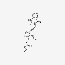 CCOC(=O)CCc1cccc(C#CCN2C(=O)c3ccccc3NC2C)c1OCC